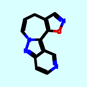 C1=Cn2nc3ccncc3c2-c2oncc2C1